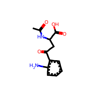 CC(=O)NC(CC(=O)c1ccccc1N)C(=O)O